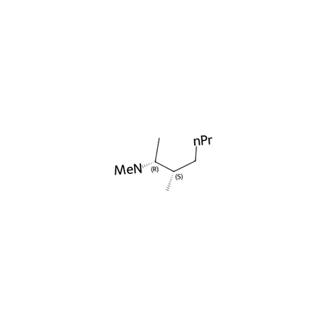 CCCC[C@H](C)[C@@H](C)NC